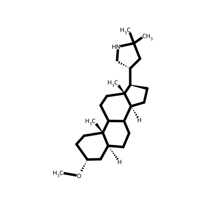 CO[C@@H]1CC[C@]2(C)C3CC[C@]4(C)[C@@H]([C@@H]5CNC(C)(C)C5)CC[C@H]4C3CC[C@H]2C1